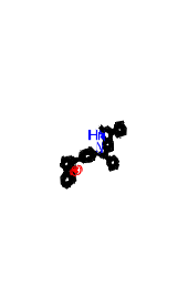 CC1C=C(c2ccccc2)c2ccc3c(-c4ccccc4)cc(-c4ccc(-c5cccc6c5oc5ccccc56)cc4)nc3c2N1